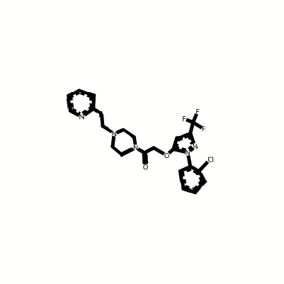 O=C(COc1cc(C(F)(F)F)nn1-c1ccccc1Cl)N1CCN(CCc2ccccn2)CC1